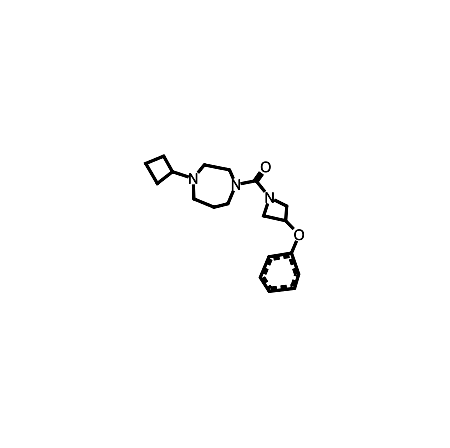 O=C(N1CCCN(C2CCC2)CC1)N1CC(Oc2ccccc2)C1